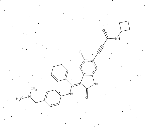 CN(C)CC1=CCC(N/C(C2=CCCC=C2)=C2\C(=O)Nc3cc(C#CC(=O)NC4CCC4)c(F)cc32)C=C1